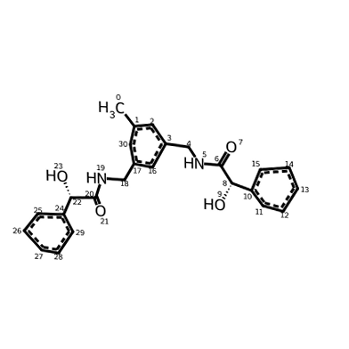 Cc1cc(CNC(=O)[C@@H](O)c2ccccc2)cc(CNC(=O)[C@@H](O)c2ccccc2)c1